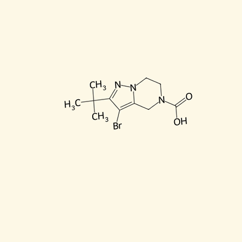 CC(C)(C)c1nn2c(c1Br)CN(C(=O)O)CC2